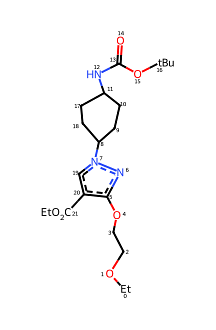 CCOCCOc1nn(C2CCC(NC(=O)OC(C)(C)C)CC2)cc1C(=O)OCC